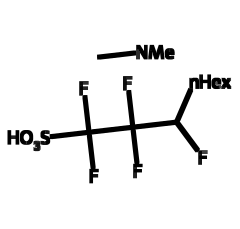 CCCCCCC(F)C(F)(F)C(F)(F)S(=O)(=O)O.CNC